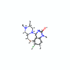 Cc1cc2c3c(nc(=O)n2C)N2CC(C)N(C)CC2CSc3c1F